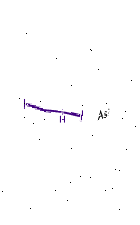 I[IH]I.[As]